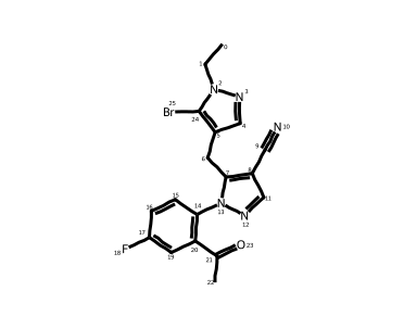 CCn1ncc(Cc2c(C#N)cnn2-c2ccc(F)cc2C(C)=O)c1Br